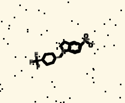 O=[N+]([O-])c1ccc2c(c1)CCN2C[C@H]1CC[C@H](C(F)(F)F)CC1